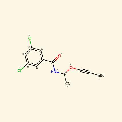 CCCCC#COC(C#N)NC(=O)c1cc(Cl)cc(Cl)c1